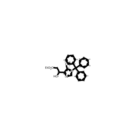 CCOC(=O)CC(O)c1ncn(C(c2ccccc2)(c2ccccc2)c2ccccc2)c1C